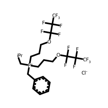 CC(C)C[P+](CCCOC(F)(F)C(F)(F)C(F)(F)F)(CCCOC(F)(F)C(F)(F)C(F)(F)F)Cc1ccccc1.[Cl-]